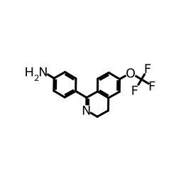 Nc1ccc(C2=NCCc3cc(OC(F)(F)F)ccc32)cc1